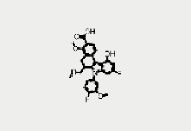 COCC1Cc2c(ccc(C(=O)O)c2OC)-c2c1n(-c1ccc(F)c(OC)c1)c1cc(F)cc(O)c21